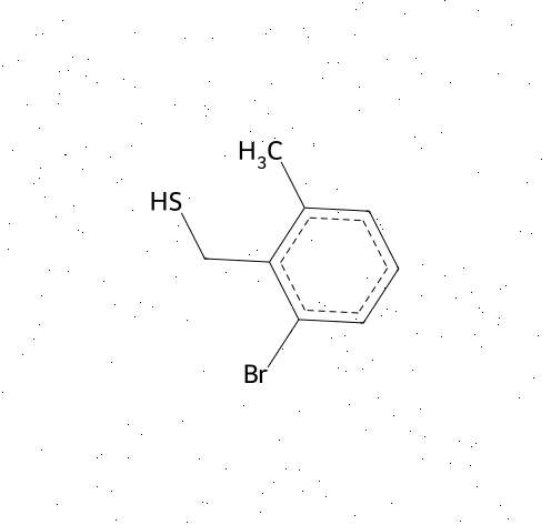 Cc1cccc(Br)c1CS